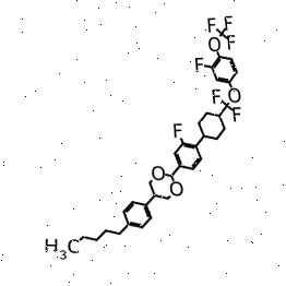 CCCCCc1ccc(C2COC(c3ccc(C4CCC(C(F)(F)Oc5ccc(OC(F)(F)F)c(F)c5)CC4)c(F)c3)OC2)cc1